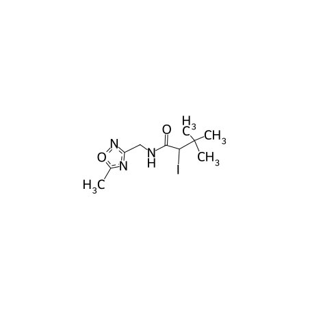 Cc1nc(CNC(=O)C(I)C(C)(C)C)no1